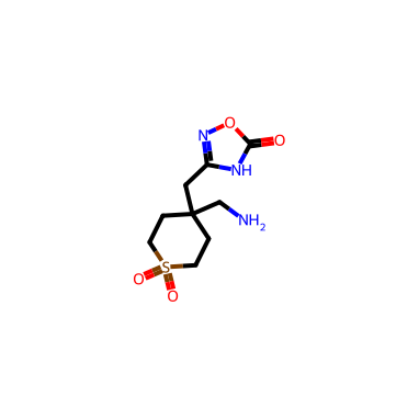 NCC1(Cc2noc(=O)[nH]2)CCS(=O)(=O)CC1